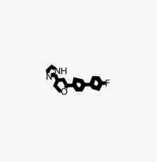 Fc1ccc(-c2ccc(C3CC(C4=NCCN4)CCO3)cc2)cc1